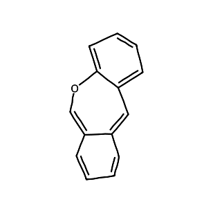 C1=c2ccccc2=Cc2ccccc2O1